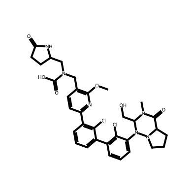 COc1nc(-c2cccc(-c3cccc(N4[C](CO)N(C)C(=O)C5CCCN54)c3Cl)c2Cl)ccc1CN(CC1CCC(=O)N1)C(=O)O